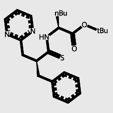 CCCC[C@H](NC(=S)[C@@H](Cc1ccccc1)Cc1ncccn1)C(=O)OC(C)(C)C